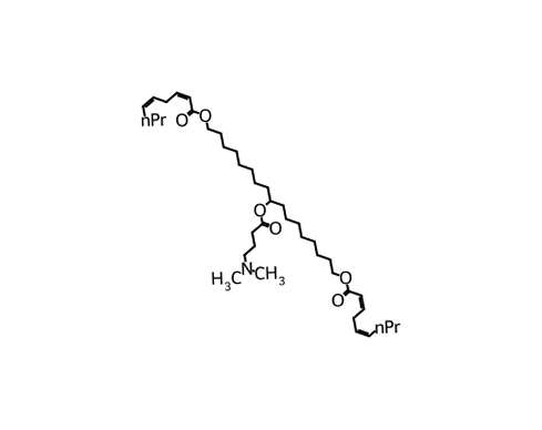 CCC/C=C\C/C=C\C(=O)OCCCCCCCCC(CCCCCCCCOC(=O)/C=C\C/C=C\CCC)OC(=O)CCCN(C)C